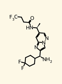 C[C@H](NC(=O)CCC(F)(F)F)c1cnn2cc([C@@H](N)C3CCC(F)(F)CC3)nc2c1